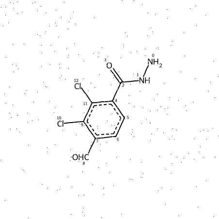 NNC(=O)c1ccc([C]=O)c(Cl)c1Cl